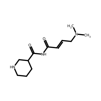 CN(C)CC=CC(=O)NC(=O)C1CCCNC1